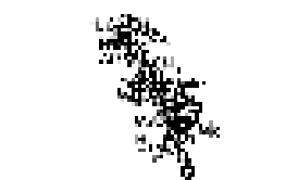 COCC1O[C@@H](O[C@H]2C(C)C(C)[C@@H](O[C@H]3C(C)C(OC)[C@H](O[C@@H]4C(COCc5ccccc5)O[C@@H](C)C(C)[C@H]4C)O[C@H]3COC)O[C@H]2COC)C(OC)[C@@H](C)[C@@H]1O[C@H]1OC(CN2C(=O)c3ccccc3C2=O)[C@@H](O[C@@H]2O[C@@H](COC(C)=O)[C@@H](O[C@H]3O[C@@H](COC(C)=O)[C@@H](C)C(C)C3C)C(C)C2OC(C)=O)[C@H](C)C1C